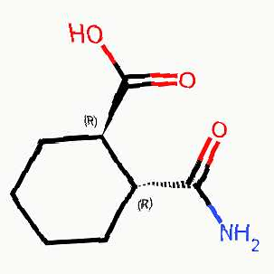 NC(=O)[C@@H]1CCCC[C@H]1C(=O)O